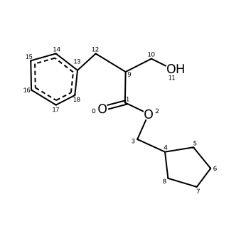 O=C(OCC1CCCC1)C(CO)Cc1ccccc1